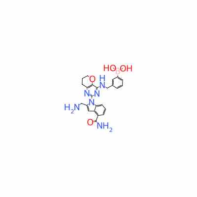 NCc1cc2c(C(N)=O)cccc2n1-c1nc2c(c(NCc3cccc(B(O)O)c3)n1)OCCC2